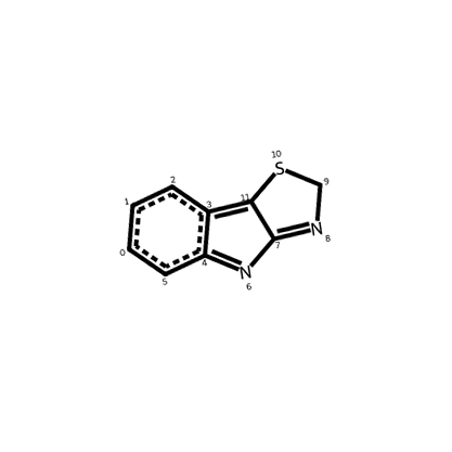 c1ccc2c(c1)=NC1=NCSC=21